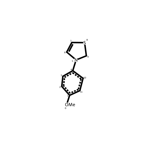 COc1ccc(N2C=CSC2)cc1